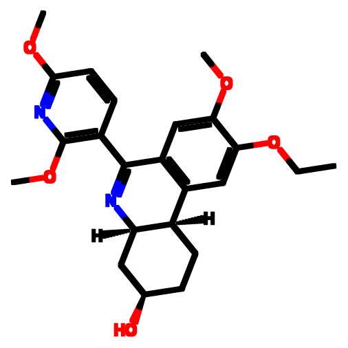 CCOc1cc2c(cc1OC)C(c1ccc(OC)nc1OC)=N[C@@H]1C[C@H](O)CC[C@H]21